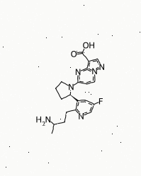 CC(N)CCc1ncc(F)cc1[C@H]1CCCN1c1ccn2ncc(C(=O)O)c2n1